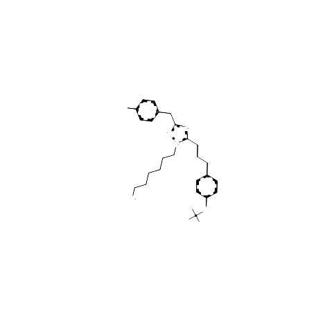 Cc1ccc(Cc2nc(CCCc3ccc(OC(C)(C)C(=O)O)cc3)n(CCCCCCO)n2)cc1